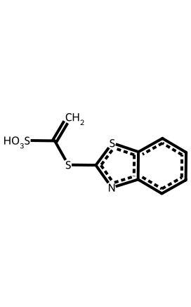 C=C(Sc1nc2ccccc2s1)S(=O)(=O)O